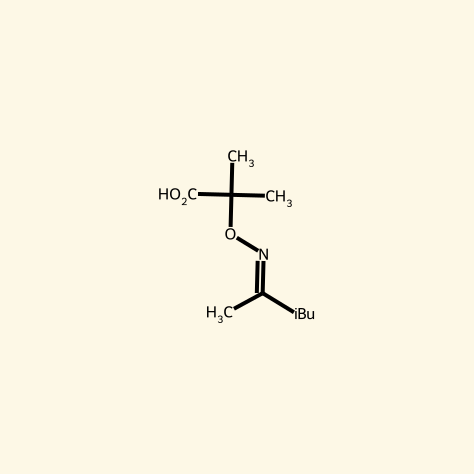 CCC(C)/C(C)=N/OC(C)(C)C(=O)O